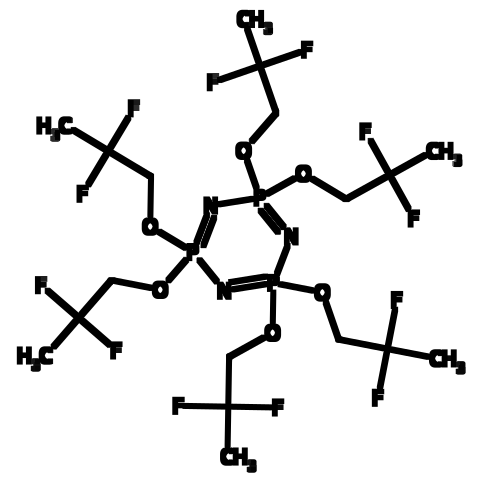 CC(F)(F)COP1(OCC(C)(F)F)=NP(OCC(C)(F)F)(OCC(C)(F)F)=NP(OCC(C)(F)F)(OCC(C)(F)F)=N1